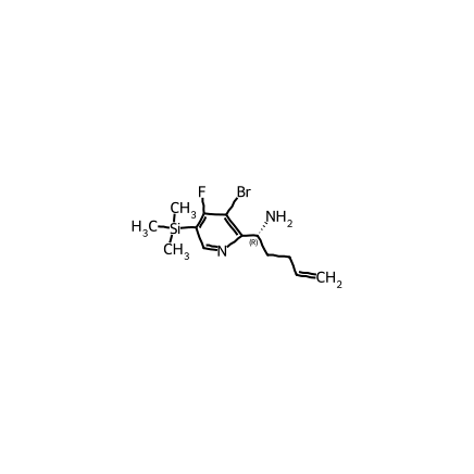 C=CCC[C@@H](N)c1ncc([Si](C)(C)C)c(F)c1Br